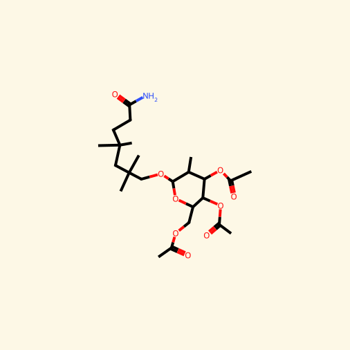 CC(=O)OCC1OC(OCC(C)(C)CC(C)(C)CCC(N)=O)C(C)C(OC(C)=O)C1OC(C)=O